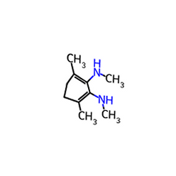 CNC1=C(C)CCC(C)=C1NC